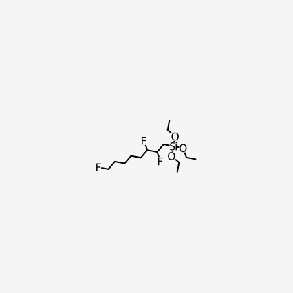 CCO[Si](CC(F)C(F)CCCCCF)(OCC)OCC